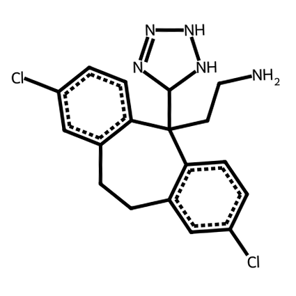 NCCC1(C2N=NNN2)c2ccc(Cl)cc2CCc2cc(Cl)ccc21